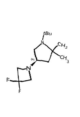 CC(C)(C)N1C[C@H](N2CC(F)(F)C2)CC1(C)C